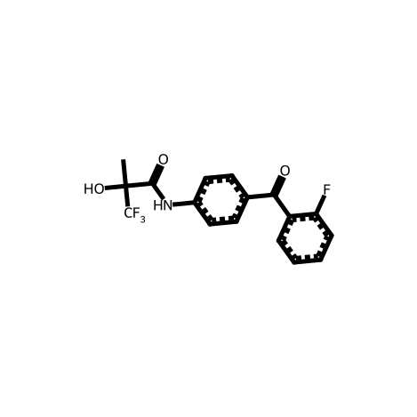 CC(O)(C(=O)Nc1ccc(C(=O)c2ccccc2F)cc1)C(F)(F)F